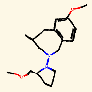 COC[C@@H]1CCCN1N1Cc2ccc(OC)cc2CC(C)C1